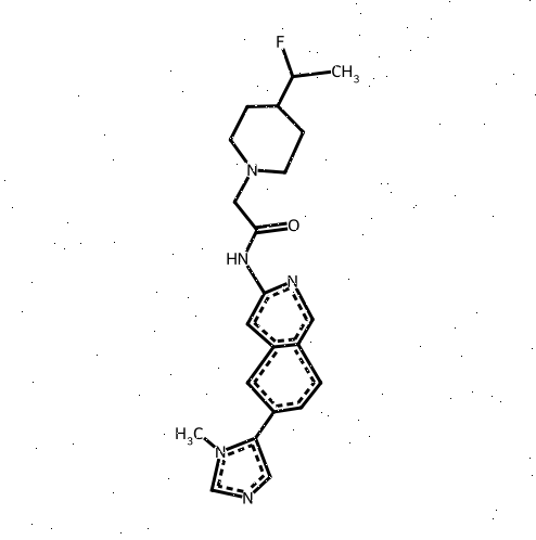 CC(F)C1CCN(CC(=O)Nc2cc3cc(-c4cncn4C)ccc3cn2)CC1